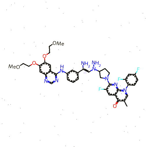 COCCOc1cc2ncnc(Nc3cccc(/C(N)=C/N(N)C4CCN(c5nc6c(cc5F)c(=O)c(C)cn6-c5ccc(F)cc5F)C4)c3)c2cc1OCCOC